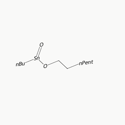 CCCCCCC[O][Sn](=[O])[CH2]CCC